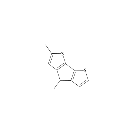 Cc1cc2c(s1)-c1sccc1C2C